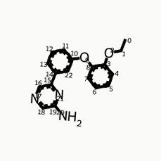 CCOc1ccccc1Oc1cccc(-c2cncc(N)n2)c1